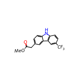 COC(=O)Cc1ccc2[nH]c3ccc(C(F)(F)F)cc3c2c1